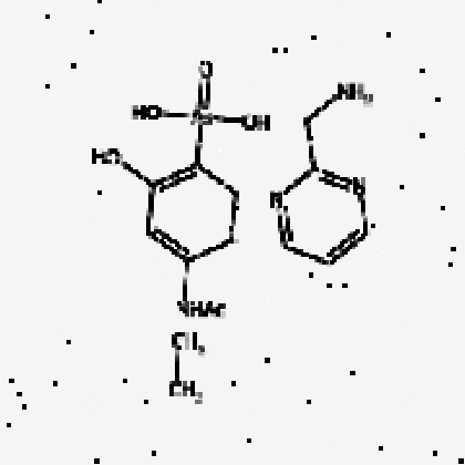 CC.CC(=O)NC1=CC(O)=C([As](=O)(O)O)C[CH]1.NCc1ncccn1